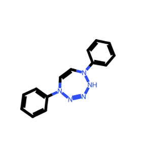 c1ccc(-n2ccn(-c3ccccc3)[nH]nn2)cc1